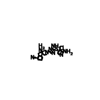 N#Cc1cccc2c1C[C@@H](N)C21CCN(c2cnc(Sc3ccnc(N)c3Cl)c(N)n2)CC1